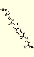 CNC(=O)CCNC(=O)Cc1ccc(CNC(=O)COCCCNC(C)=O)cc1